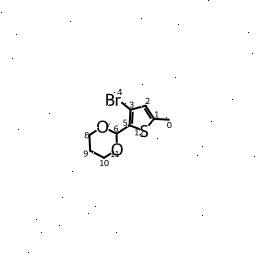 Cc1cc(Br)c(C2OCCCO2)s1